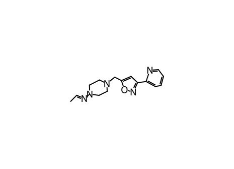 C/C=N/N1CCN(Cc2cc(-c3ccccn3)no2)CC1